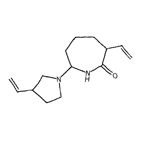 C=CC1CCN(C2CCCC(C=C)C(=O)N2)C1